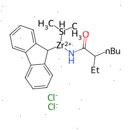 CCCCC(CC)C(=O)[NH][Zr+2]([CH]1c2ccccc2-c2ccccc21)[SiH](C)C.[Cl-].[Cl-]